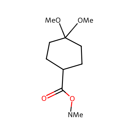 CNOC(=O)C1CCC(OC)(OC)CC1